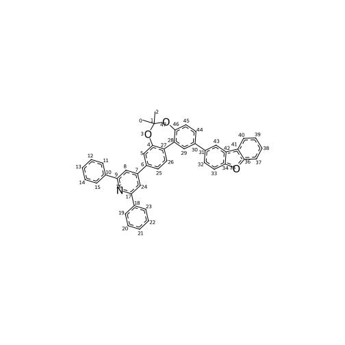 CC1(C)Oc2cc(-c3cc(-c4ccccc4)nc(-c4ccccc4)c3)ccc2-c2cc(-c3ccc4oc5ccccc5c4c3)ccc2O1